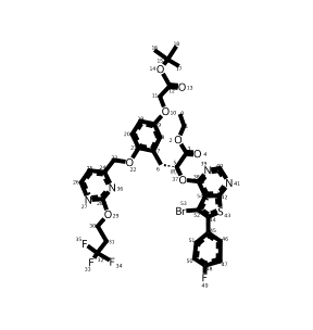 CCOC(=O)[C@@H](Cc1cc(OCC(=O)OC(C)(C)C)ccc1OCc1ccnc(OCCC(F)(F)F)n1)Oc1ncnc2sc(-c3ccc(F)cc3)c(Br)c12